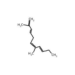 C=C(C)C=CCC=C(C)C=CCC